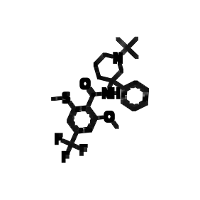 COc1cc(C(F)(F)F)cc(SC)c1C(=O)NC1(c2ccccc2)CCCN(C(C)(C)C)C1